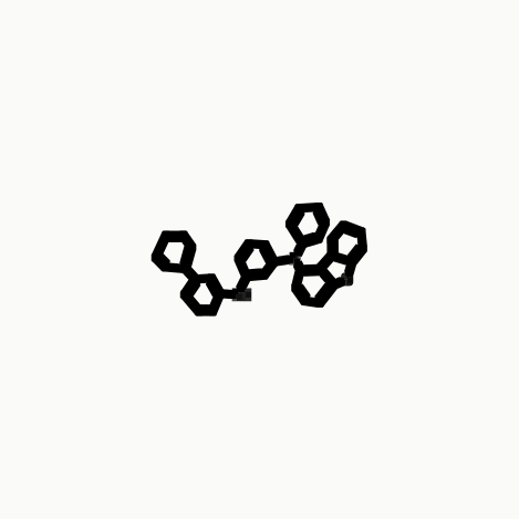 c1ccc(-c2cccc(Nc3cccc(N(c4ccccc4)c4cccc5oc6ccccc6c45)c3)c2)cc1